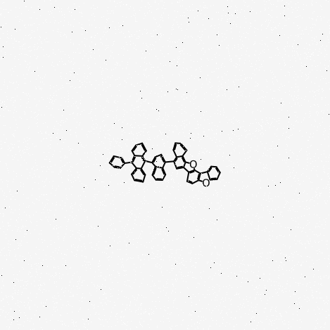 c1ccc(-c2c3ccccc3c(-c3ccc(-c4cc5c6ccc7oc8ccccc8c7c6oc5c5ccccc45)c4ccccc34)c3ccccc23)cc1